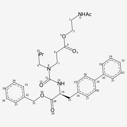 CC(=O)NCCOC(=O)CCN(CC(C)C)C(=O)N[C@@H](Cc1ccc(-c2ccccc2)cc1)C(=O)OCc1ccccc1